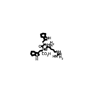 N=C(N)NCCC[C@H](N)C(=O)N[C@@H](Cc1c[nH]c2ccccc12)C(=O)N[C@@H](Cc1c[nH]c2ccccc12)C(=O)O